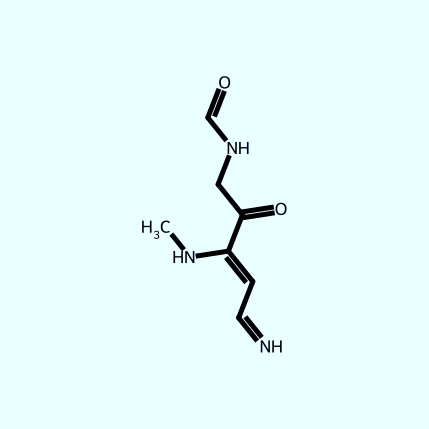 CN/C(=C\C=N)C(=O)CNC=O